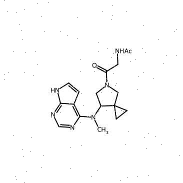 CC(=O)NCC(=O)N1CC(N(C)c2ncnc3[nH]ccc23)C2(CC2)C1